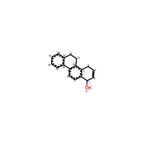 OC1C=CCc2c1ccc1c2CCc2ccccc2-1